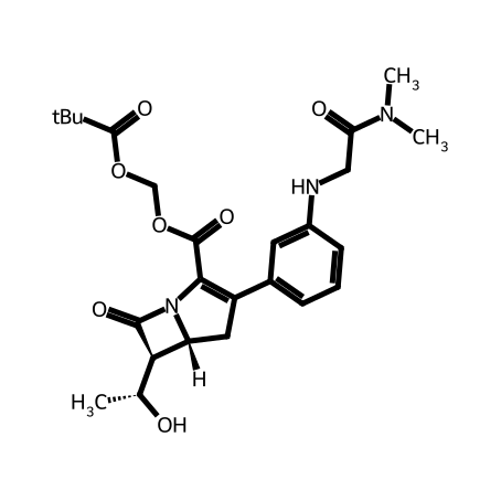 C[C@@H](O)[C@H]1C(=O)N2C(C(=O)OCOC(=O)C(C)(C)C)=C(c3cccc(NCC(=O)N(C)C)c3)C[C@H]12